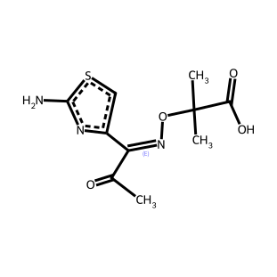 CC(=O)/C(=N/OC(C)(C)C(=O)O)c1csc(N)n1